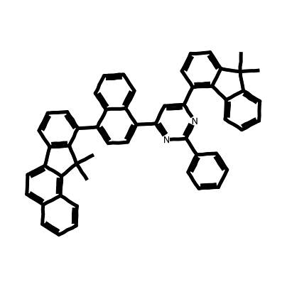 CC1(C)c2ccccc2-c2c(-c3cc(-c4ccc(-c5cccc6c5C(C)(C)c5c-6ccc6ccccc56)c5ccccc45)nc(-c4ccccc4)n3)cccc21